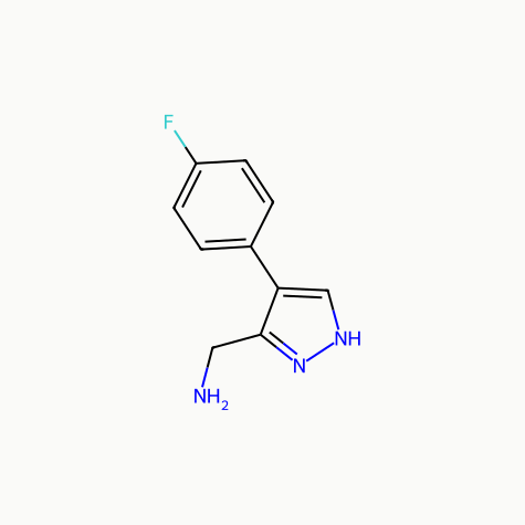 NCc1n[nH]cc1-c1ccc(F)cc1